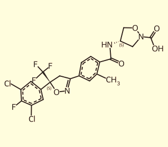 Cc1cc(C2=NO[C@@](c3cc(Cl)c(F)c(Cl)c3)(C(F)(F)F)C2)ccc1C(=O)N[C@@H]1CON(C(=O)O)C1